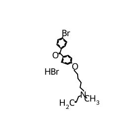 Br.C=CCN(C)CCCCCCOc1ccc(C(=O)c2ccc(Br)cc2)cc1